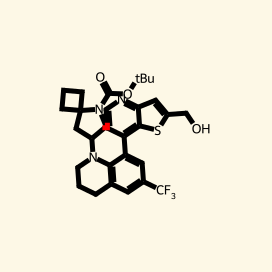 CC(C)(C)OC(=O)N1CC(N2CCCc3cc(C(F)(F)F)cc(-c4ccnc5cc(CO)sc45)c32)CC12CCC2